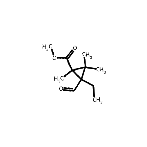 CCC1(C=O)C(C)(C)C1(C)C(=O)OC